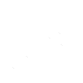 CN(C)CCn1ccc2c(-c3ccnc(Nc4cccc(Cl)c4)n3)cccc21